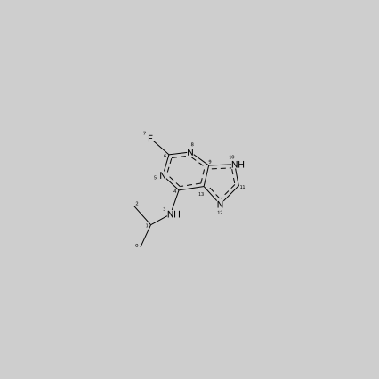 CC(C)Nc1nc(F)nc2[nH]cnc12